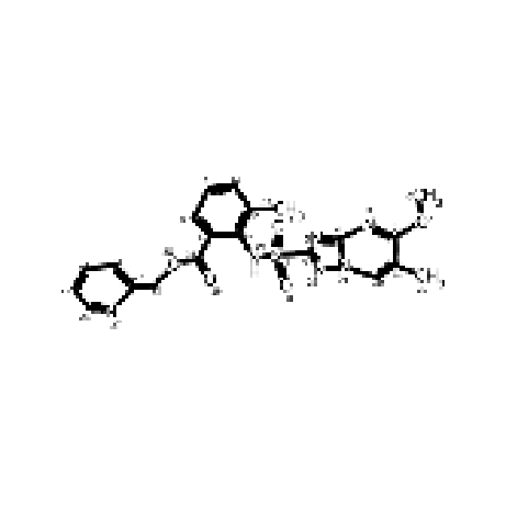 COc1nc2nc(S(=O)(=O)Nc3c(C)cccc3C(=O)OCc3ccccn3)nn2cc1C